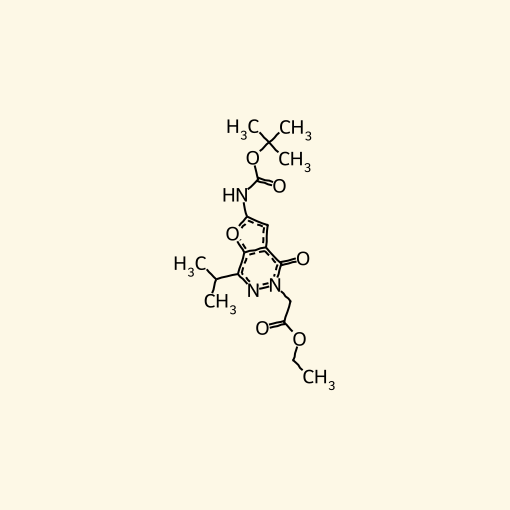 CCOC(=O)Cn1nc(C(C)C)c2oc(NC(=O)OC(C)(C)C)cc2c1=O